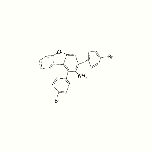 Nc1c(-c2ccc(Br)cc2)cc2oc3ccccc3c2c1-c1ccc(Br)cc1